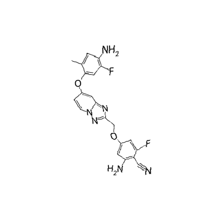 Cc1cc(N)c(F)cc1Oc1ccn2nc(COc3cc(N)c(C#N)c(F)c3)nc2c1